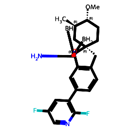 BC1(B)OC(N)=N[C@]12c1cc(-c3cc(F)cnc3F)ccc1C[C@]21CC[C@@H](OC)[C@H](C)C1